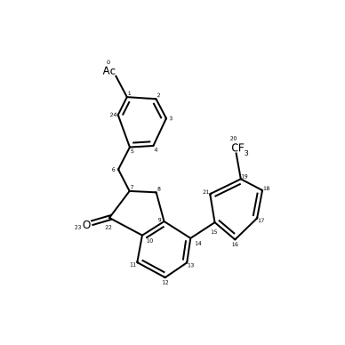 CC(=O)c1cccc(CC2Cc3c(cccc3-c3cccc(C(F)(F)F)c3)C2=O)c1